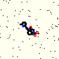 COC(=O)N1CC[C@@]2(N=O)C(C#Cc3cccc(C)n3)CCC[C@@H]12